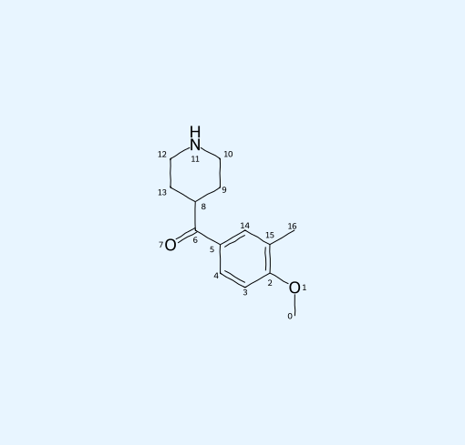 COc1ccc(C(=O)C2CCNCC2)cc1C